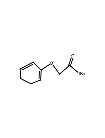 CC(C)(C)C(=O)COC1=CCCC=C1